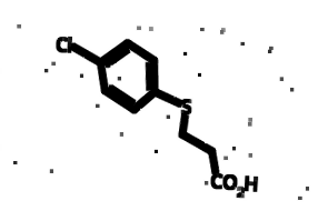 O=C(O)CCSc1ccc(Cl)cc1